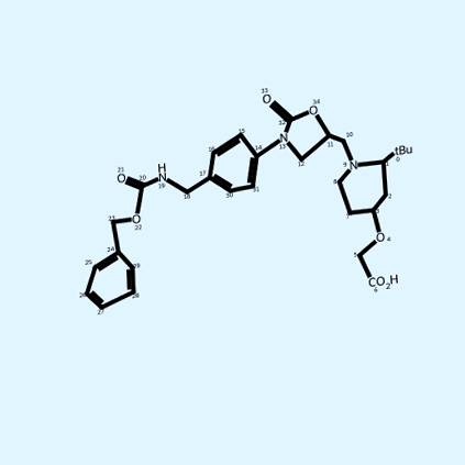 CC(C)(C)C1CC(OCC(=O)O)CCN1CC1CN(c2ccc(CNC(=O)OCc3ccccc3)cc2)C(=O)O1